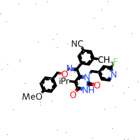 COc1ccc(CON=C(c2cc(C)cc(C#N)c2)c2c(C(C)C)c(=O)[nH]c(=O)n2Cc2ccnc(F)c2)cc1